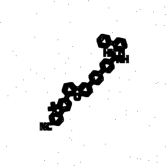 CC1(C)c2cc(C#N)ccc2-c2ccc(-c3cccc4c3oc3ccc(-c5ccc(-c6ccc(C(=N)NC7NC=CC=C7c7ccccc7)cc6)cc5)cc34)cc21